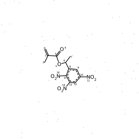 C=C(C)C(=O)OC(C)c1cc([N+](=O)[O-])cc([N+](=O)[O-])c1[N+](=O)[O-]